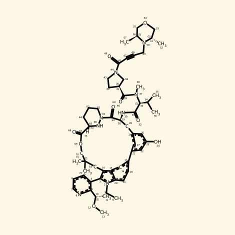 CCn1c(-c2cccnc2[C@H](C)OC)c2c3cc(ccc31)-c1cc(O)cc(c1)C[C@H](NC(=O)[C@H](C(C)C)N(C)C(=O)[C@H]1CCN(C(=O)C#CCN3[C@@H](C)COC[C@@H]3C)C1)C(=O)N1CCC[C@H](N1)C(=O)OCC(C)(C)C2